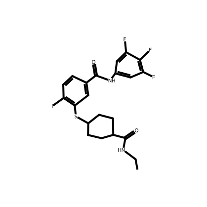 CCNC(=O)C1CCC(Sc2cc(C(=O)Nc3cc(F)c(F)c(F)c3)ccc2I)CC1